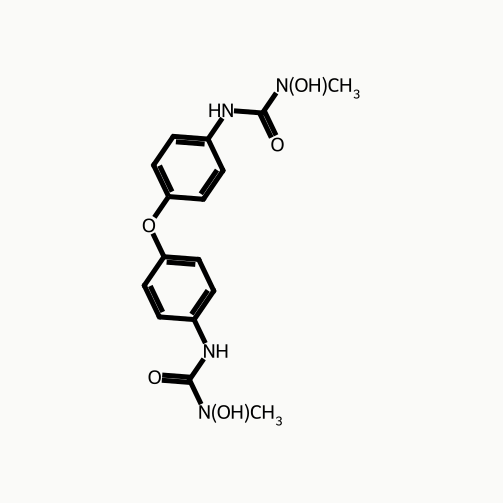 CN(O)C(=O)Nc1ccc(Oc2ccc(NC(=O)N(C)O)cc2)cc1